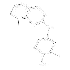 COc1ccc(Nc2ccc3cccc(Cl)c3n2)cc1C